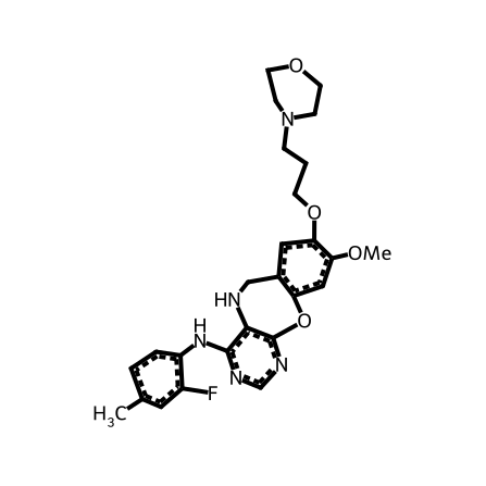 COc1cc2c(cc1OCCCN1CCOCC1)CNc1c(Nc3ccc(C)cc3F)ncnc1O2